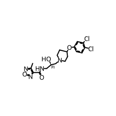 Cc1nonc1C(=O)NC[C@@H](O)CN1CCC(Oc2ccc(Cl)c(Cl)c2)CC1